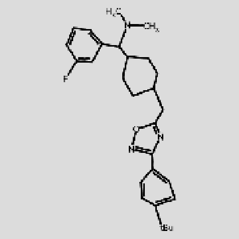 CN(C)C(c1cccc(F)c1)C1CCC(Cc2nc(-c3ccc(C(C)(C)C)cc3)no2)CC1